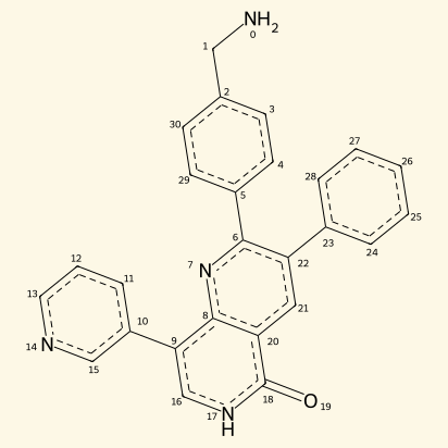 NCc1ccc(-c2nc3c(-c4cccnc4)c[nH]c(=O)c3cc2-c2ccccc2)cc1